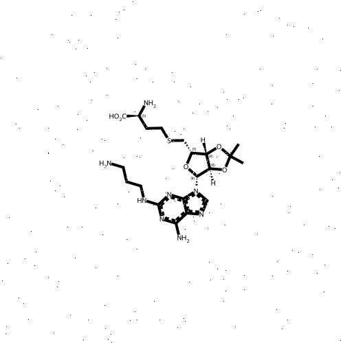 CC1(C)O[C@@H]2[C@@H](O1)[C@@H](CSCC[C@H](N)C(=O)O)O[C@H]2n1cnc2c(N)nc(NCCCN)nc21